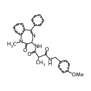 COc1ccc(CNC(=O)C(C)C(=O)NC2N=C(c3ccccc3)c3ccccc3N(C)C2=O)cc1